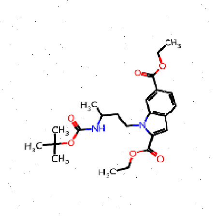 CCOC(=O)c1ccc2cc(C(=O)OCC)n(CCC(C)NC(=O)OC(C)(C)C)c2c1